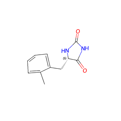 Cc1ccccc1C[C@@H]1NC(=O)NC1=O